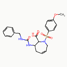 COc1ccc(S(=O)(=O)N2CC=CCC(NC(=O)NCc3ccccc3)C2C(=O)O)cc1